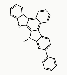 Cn1c2cc(-c3ccccc3)ccc2c2c3ccccc3c3c4ccccc4sc3c21